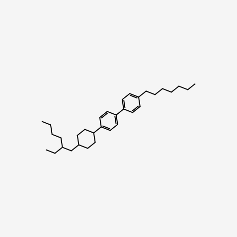 CCCCCCCc1ccc(-c2ccc(C3CCC(CC(CC)CCCC)CC3)cc2)cc1